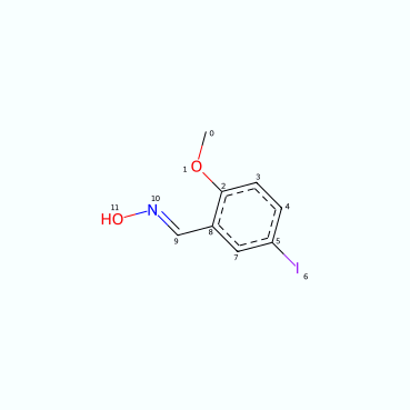 COc1ccc(I)cc1/C=N/O